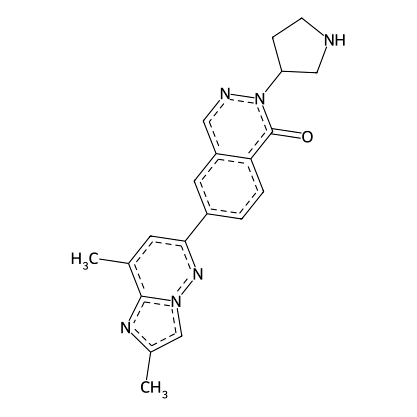 Cc1cn2nc(-c3ccc4c(=O)n(C5CCNC5)ncc4c3)cc(C)c2n1